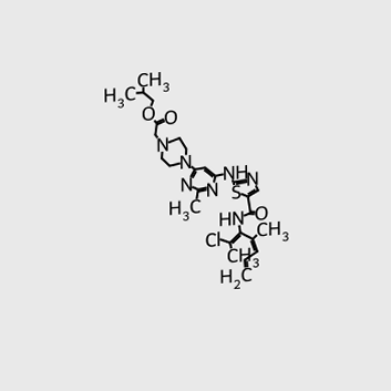 C=C/C=C(C)\C(NC(=O)c1cnc(Nc2cc(N3CCN(CC(=O)OCC(C)C)CC3)nc(C)n2)s1)=C(/C)Cl